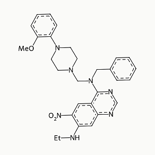 CCNc1cc2ncnc(N(Cc3ccccc3)CN3CCN(c4ccccc4OC)CC3)c2cc1[N+](=O)[O-]